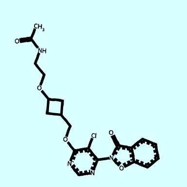 CC(=O)NCCOC1CC(COc2ncnc(-n3oc4ccccc4c3=O)c2Cl)C1